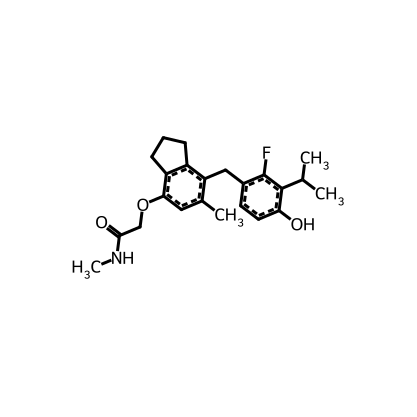 CNC(=O)COc1cc(C)c(Cc2ccc(O)c(C(C)C)c2F)c2c1CCC2